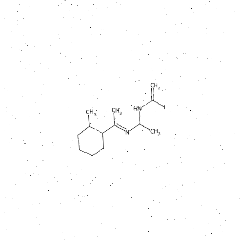 C=C(I)NC(C)/N=C(\C)C1CCCCC1C